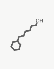 OCCCCCCC1CCCCC1